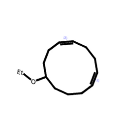 CCOC1CC/C=C\CC/C=C\CCC1